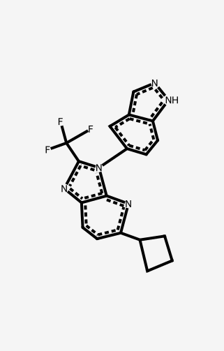 FC(F)(F)c1nc2ccc(C3CCC3)nc2n1-c1ccc2[nH]ncc2c1